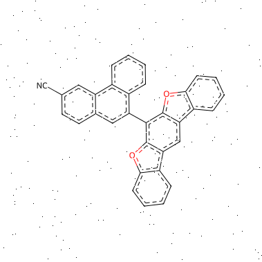 N#Cc1ccc2cc(-c3c4oc5ccccc5c4cc4c3oc3ccccc34)c3ccccc3c2c1